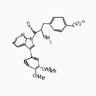 COc1ccc(-c2cn(C(=O)C(N)Cc3ccc(C(=O)O)cc3)c3ncccc23)cc1OC